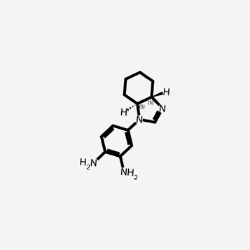 Nc1ccc(N2C=N[C@H]3CCCC[C@@H]32)cc1N